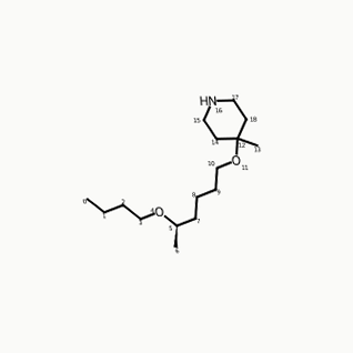 CCCCO[C@H](C)CCCCOC1(C)CCNCC1